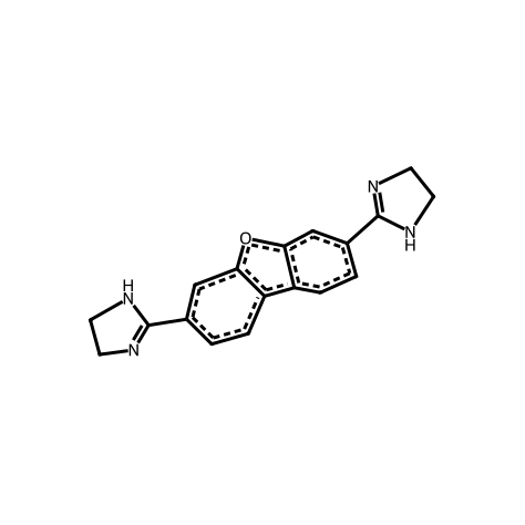 c1cc2c(cc1C1=NCCN1)oc1cc(C3=NCCN3)ccc12